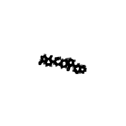 Cc1c([C@@H](O)CN2CCC3(CC2)CCN(c2cnc4snnc4c2)C3=O)ccc2c1COC2=O